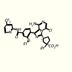 CCOc1cc(C(=O)Nc2cc(C(F)(F)F)ccn2)ccc1-c1nc([C@H]2CC[C@@](C(=O)O)(C(C)C)C2)n2c(Cl)cnc(N)c12